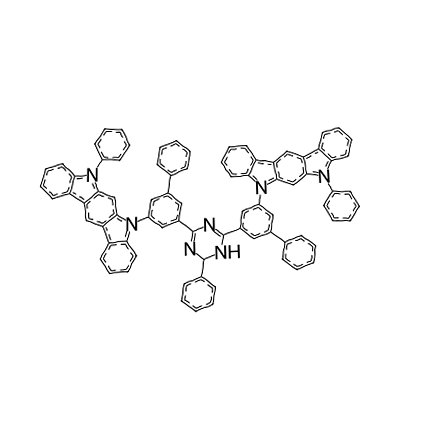 c1ccc(-c2cc(C3=NC(c4ccccc4)NC(c4cc(-c5ccccc5)cc(-n5c6ccccc6c6cc7c8ccccc8n(-c8ccccc8)c7cc65)c4)=N3)cc(-n3c4ccccc4c4cc5c6ccccc6n(-c6ccccc6)c5cc43)c2)cc1